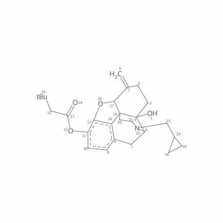 C=C1CCC2(O)C3Cc4ccc(OC(=O)CC(C)(C)C)c5c4C2(CCN3CC2CC2)C1O5